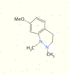 COc1ccc2c(c1)N(C)N(C)CC2